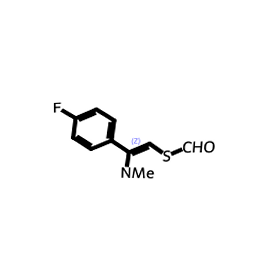 CN/C(=C\SC=O)c1ccc(F)cc1